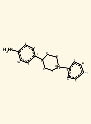 Nc1ccc(C2CCN(c3ccccc3)CC2)cc1